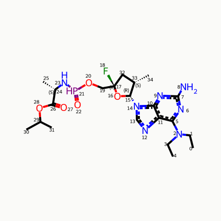 CCN(CC)c1nc(N)nc2c1ncn2[C@@H]1O[C@](F)(CO[PH](=O)N[C@@H](C)C(=O)OC(C)C)C[C@@H]1C